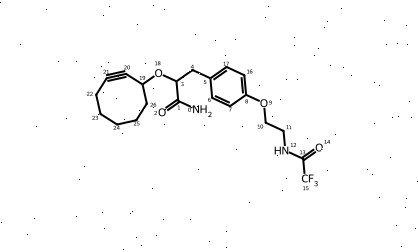 NC(=O)C(Cc1ccc(OCCNC(=O)C(F)(F)F)cc1)OC1C#CCCCCC1